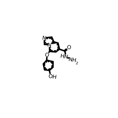 NNC(=O)c1cc(Oc2ccc(O)cc2)n2cncc2c1